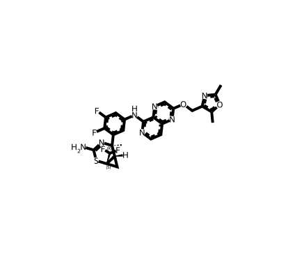 Cc1nc(COc2cnc3c(Nc4cc(F)c(F)c([C@]5(C)N=C(N)S[C@@]6(C(F)F)C[C@@H]56)c4)nccc3n2)c(C)o1